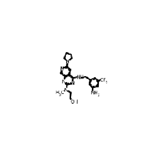 CN(CCO)c1nc(NCCc2cc(N)cc(C(F)(F)F)c2)c2cc(N3CCCC3)ncc2n1